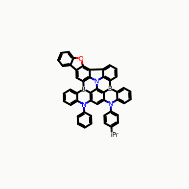 CC(C)c1ccc(N2c3ccccc3B3c4c2cc2c5c4-n4c6c3cccc6c3c6oc7ccccc7c6cc(c34)B5c3ccccc3N2c2ccccc2)cc1